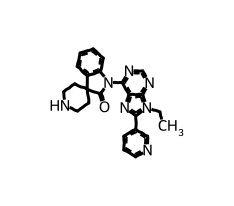 CCn1c(-c2cccnc2)nc2c(N3C(=O)C4(CCNCC4)c4ccccc43)ncnc21